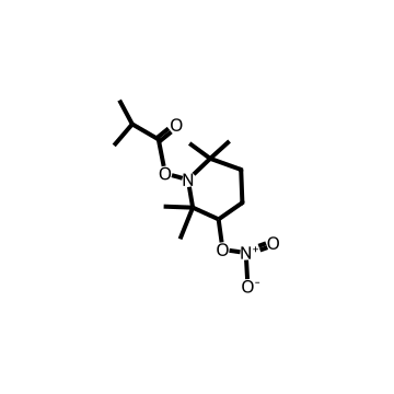 CC(C)C(=O)ON1C(C)(C)CCC(O[N+](=O)[O-])C1(C)C